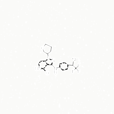 NC(c1ccc(Nc2nn([C]3CCCOC3)c3cc[nH]c(=O)c23)cc1)C(F)(F)F